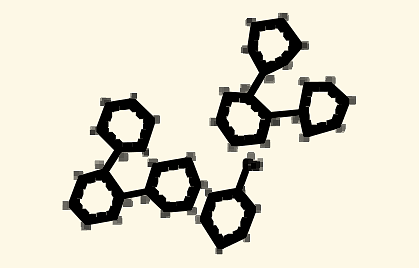 [Ge][c]1ccccc1.c1ccc(-c2ccccc2-c2ccccc2)cc1.c1ccc(-c2ccccc2-c2ccccc2)cc1